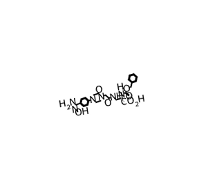 N/C(=N/O)c1ccc(N2CCN(CC(=O)NC[C@H](NC(=O)OCc3ccccc3)C(=O)O)C(=O)C2)cc1